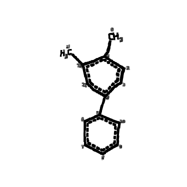 Cc1ccc(-c2[c]cccc2)cc1C